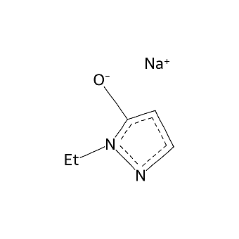 CCn1nccc1[O-].[Na+]